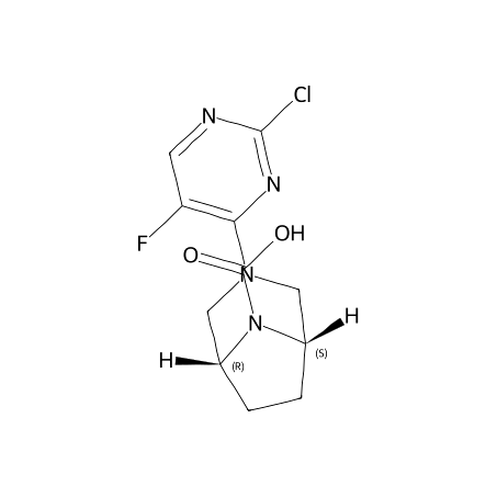 O=C(O)N1[C@@H]2CC[C@H]1CN(c1nc(Cl)ncc1F)C2